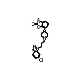 Cn1c(=O)oc2c(N3CCN(CCCn4ncc5ccc(Cl)cc54)CC3)cccc21